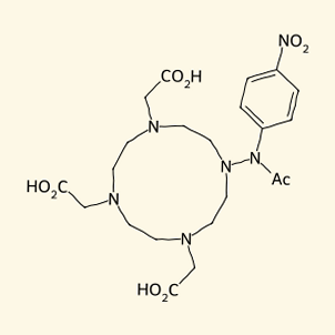 CC(=O)N(c1ccc([N+](=O)[O-])cc1)N1CCN(CC(=O)O)CCN(CC(=O)O)CCN(CC(=O)O)CC1